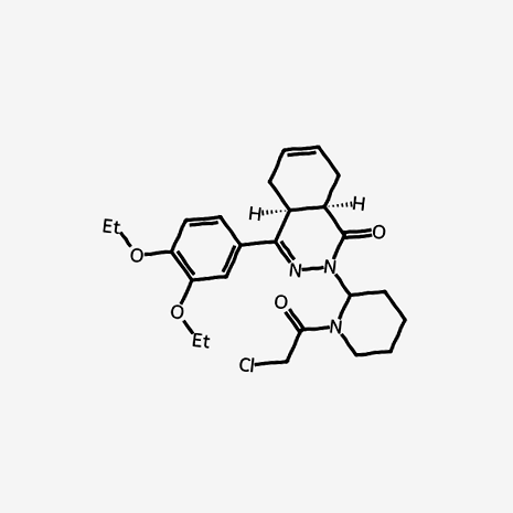 CCOc1ccc(C2=NN(C3CCCCN3C(=O)CCl)C(=O)[C@@H]3CC=CC[C@H]23)cc1OCC